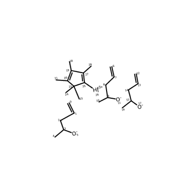 C=CCC(C)[O-].C=CCC(C)[O-].C=CCC(C)[O-].CC1=C(C)C(C)(C)[C]([Hf+3])=C1C